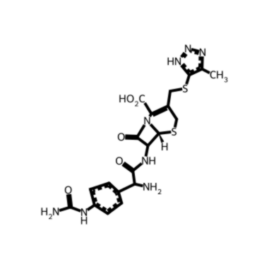 Cc1nn[nH]c1SCC1=C(C(=O)O)N2C(=O)C(NC(=O)C(N)c3ccc(NC(N)=O)cc3)[C@H]2SC1